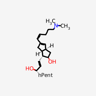 CCCCC[C@H](O)/C=C/[C@@H]1[C@H]2CC(/C=C\CCCN(C)C)=C[C@H]2C[C@H]1O